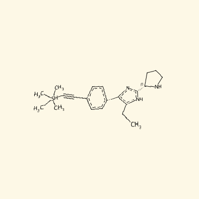 CCc1[nH]c([C@@H]2CCCN2)nc1-c1ccc(C#C[SH](C)(C)(C)C)cc1